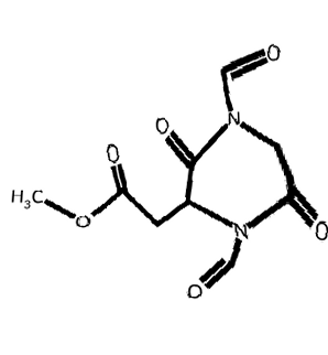 COC(=O)CC1C(=O)N(C=O)CC(=O)N1C=O